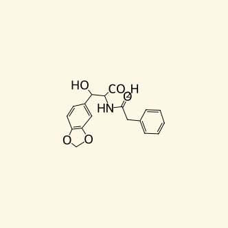 O=C(Cc1ccccc1)NC(C(=O)O)C(O)c1ccc2c(c1)OCO2